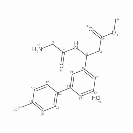 COC(=O)CC(NC(=O)CN)c1cccc(-c2ccc(F)cc2)c1.Cl